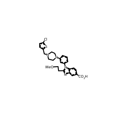 COCCc1nc2cc(C(=O)O)ccc2n1-c1cccc(N2CCN(Cc3ccc(Cl)s3)CC2)c1